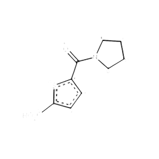 O=C(O)c1ccc(C(=O)N2CCCC2)s1